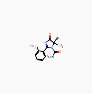 CCOC(=O)c1ccccc1C1=NC(=O)C(C)(C(C)C)N1C(=O)NC